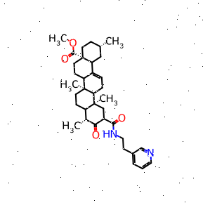 COC(=O)[C@@]12CCC3C(=CCC4[C@@]3(C)CCC3[C@@H](C)C(=O)C(C(=O)NCCc5cccnc5)C[C@@]34C)C1C[C@@H](C)CC2